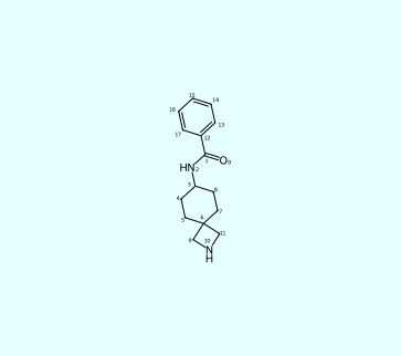 O=C(NC1CCC2(CC1)CNC2)c1ccccc1